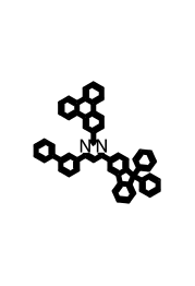 c1ccc(-c2cccc(-c3cc(-c4ccc5c(c4)-c4ccccc4C5(c4ccccc4)c4ccccc4)nc(-c4ccc5c6ccccc6c6ccccc6c5c4)n3)c2)cc1